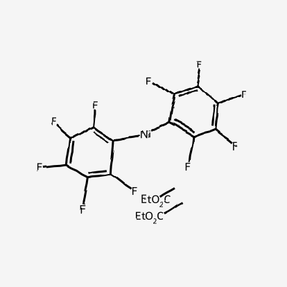 CCOC(C)=O.CCOC(C)=O.Fc1c(F)c(F)[c]([Ni][c]2c(F)c(F)c(F)c(F)c2F)c(F)c1F